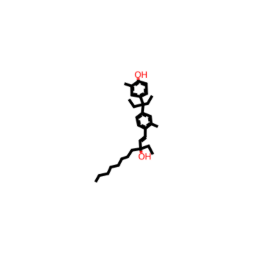 CCCCCCCCC(O)(C=Cc1ccc(C(CC)(CC)c2ccc(O)c(C)c2)cc1C)CC